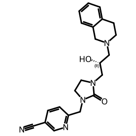 N#Cc1ccc(CN2CCN(C[C@H](O)CN3CCc4ccccc4C3)C2=O)nc1